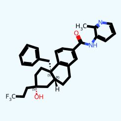 Cc1ncccc1NC(=O)c1ccc2c(c1)CC[C@@H]1C[C@@](O)(CCC(F)(F)F)CC[C@@]21Cc1ccccc1